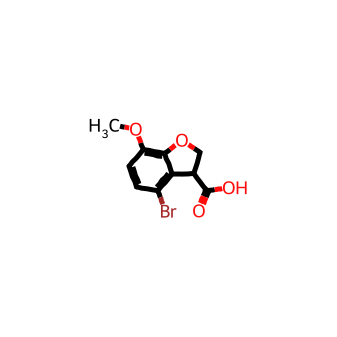 COc1ccc(Br)c2c1OCC2C(=O)O